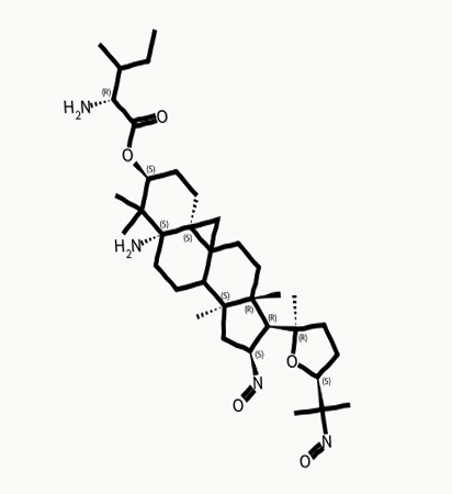 CCC(C)[C@@H](N)C(=O)O[C@H]1CC[C@]23CC24CC[C@]2(C)[C@@H]([C@@]5(C)CC[C@@H](C(C)(C)N=O)O5)[C@@H](N=O)C[C@@]2(C)C4CC[C@@]3(N)C1(C)C